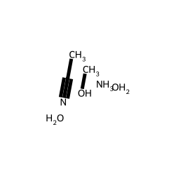 CC#N.CO.N.O.O